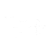 CCC(CCC(C)(C)C)OC=O